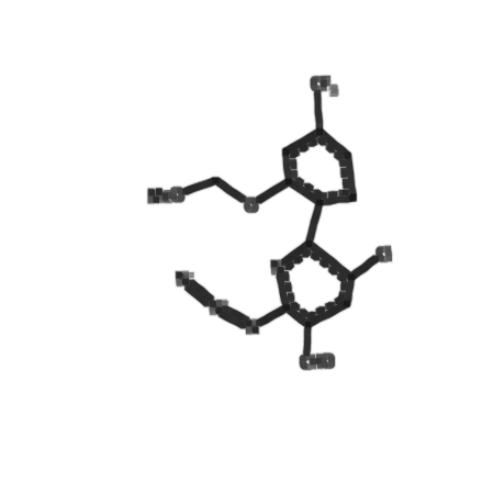 COCOc1cc(C(F)(F)F)ccc1-c1nc(N=[N+]=[N-])c(C=O)cc1Cl